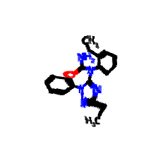 CCc1nc(N(C(N)=O)c2ccccc2CC)n(-c2ccccc2)n1